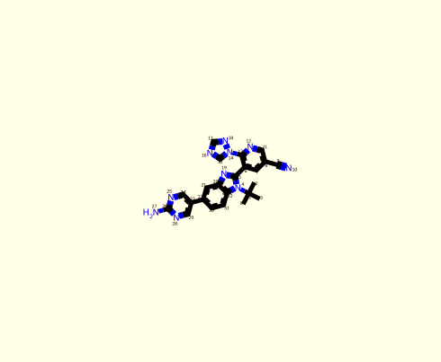 CC(C)(C)n1c(-c2cc(C#N)cnc2-n2cncn2)nc2cc(-c3cnc(N)nc3)ccc21